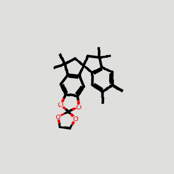 Cc1cc2c(cc1C)C1(CC2(C)C)CC(C)(C)c2cc3c(cc21)OC1(OCCO1)O3